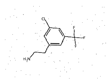 NCCc1cc(Cl)cc(C(F)(F)F)c1